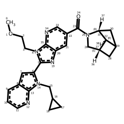 COCCn1c(-c2cc3cccnc3n2CC2CC2)nc2cc(C(=O)N3C[C@H]4CC5C[C@@H]3[C@H]54)cnc21